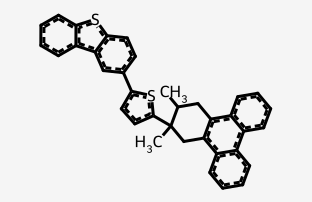 CC1Cc2c(c3ccccc3c3ccccc23)CC1(C)c1ccc(-c2ccc3sc4ccccc4c3c2)s1